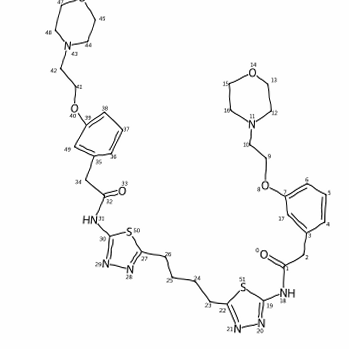 O=C(Cc1cccc(OCCN2CCOCC2)c1)Nc1nnc(CCCCc2nnc(NC(=O)Cc3cccc(OCCN4CCOCC4)c3)s2)s1